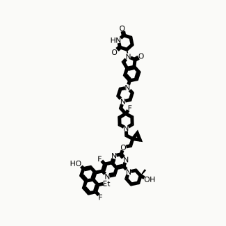 CCc1c(F)ccc2cc(O)cc(-c3ncc4c(N5CCC[C@@](C)(O)C5)nc(OCC5(CN6CCC(F)(CN7CCN(c8ccc9c(c8)CN([C@H]8CCC(=O)NC8=O)C9=O)CC7)CC6)CC5)nc4c3F)c12